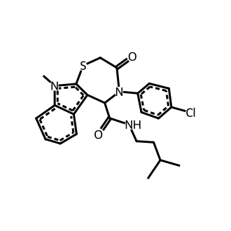 CC(C)CCNC(=O)C1c2c(n(C)c3ccccc23)SCC(=O)N1c1ccc(Cl)cc1